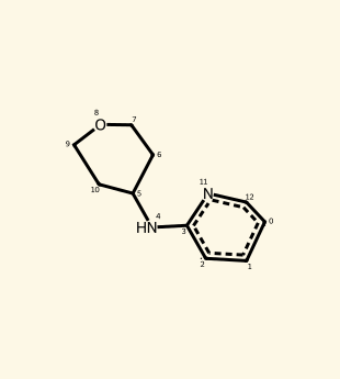 [c]1c[c]c(NC2CCOCC2)nc1